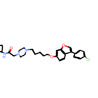 O=C(CN1CCN(CCCCCOc2ccc3c(-c4ccc(Cl)cc4)coc3c2)CC1)NC1CCC1